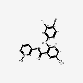 O=C(Nc1ccc[n+]([O-])c1)c1cc(C(F)(F)F)cnc1Oc1ccc(F)c(F)c1